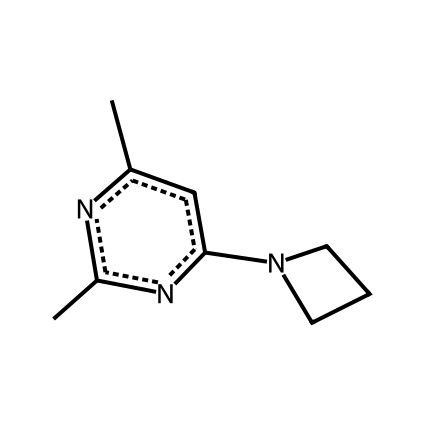 Cc1cc(N2CCC2)nc(C)n1